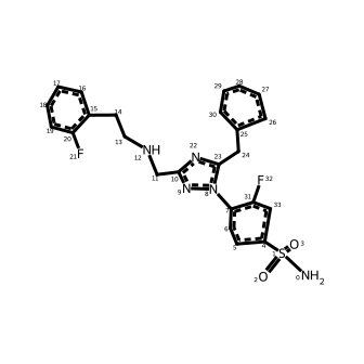 NS(=O)(=O)c1ccc(-n2nc(CNCCc3ccccc3F)nc2Cc2ccccc2)c(F)c1